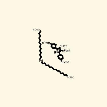 CCCCCCCCC1=C(c2ccc(CCCCC)cc2)[N+](=[N-])C(c2ccc(CCCCC)cc2)=C1CCCCC.CCCCCCCCCCCCCCCCCCCCCCC[CH2][Pd][CH2]CCCCCCCCCCCCCCCCCCCCCCC